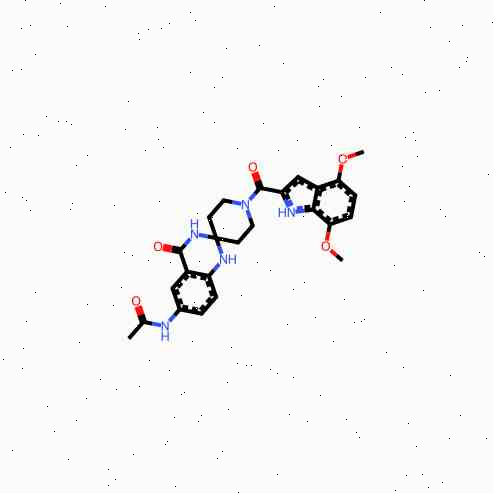 COc1ccc(OC)c2[nH]c(C(=O)N3CCC4(CC3)NC(=O)c3cc(NC(C)=O)ccc3N4)cc12